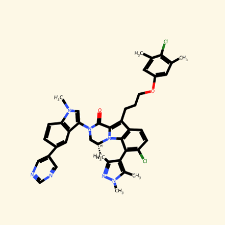 Cc1cc(OCCCc2c3n(c4c(-c5c(C)nn(C)c5C)c(Cl)ccc24)[C@H](C)CN(c2cn(C)c4ccc(-c5cncnc5)cc24)C3=O)cc(C)c1Cl